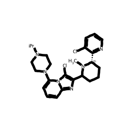 CC(C)N1CCN(c2cccc3nc(C4CCC[C@@H](c5ncccc5Cl)N4C)c(Cl)n23)CC1